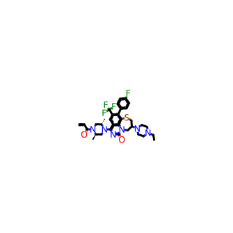 C=CC(=O)N1C[C@H](C)N(c2nc(=O)n3c4c(c(-c5ccc(F)cc5)c(C(F)(F)F)cc24)SCC(N2CCN(CC)CC2)C3)C[C@H]1C